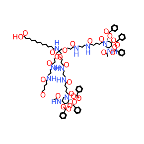 CC(=O)N[C@H]1CN(C(=O)CCCC(=O)NCCCNC(=O)CCOCC(COCCC(=O)NCCCNC(=O)CCCC=O)(COCCC(=O)NCCCNC(=O)CCCC(=O)N2C[C@H](NC(C)=O)[C@@H](OC(=O)c3ccccc3)[C@@H](OC(=O)c3ccccc3)[C@H]2COC(=O)c2ccccc2)NC(=O)CCCCCCCCCCC(=O)O)[C@H](COC(=O)c2ccccc2)[C@H](OC(=O)c2ccccc2)[C@@H]1OC(=O)c1ccccc1